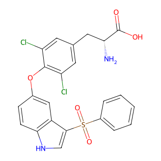 N[C@H](Cc1cc(Cl)c(Oc2ccc3[nH]cc(S(=O)(=O)c4ccccc4)c3c2)c(Cl)c1)C(=O)O